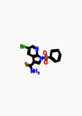 NC(=S)c1cn(S(=O)(=O)c2ccccc2)c2ncc(Br)cc12